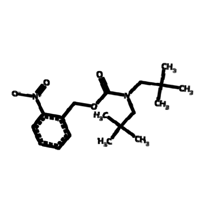 CC(C)(C)CN(CC(C)(C)C)C(=O)OCc1ccccc1[N+](=O)[O-]